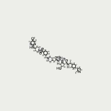 Cc1ncsc1-c1ccc([C@H](C)NC(=O)[C@@H]2C[C@@H](O)CN2C(=O)[C@@H](NC(=O)CC2CCN(Cc3cccc(S(=O)(=O)N4CCC(Nc5ncc(C(F)(F)F)cn5)CC4)c3)CC2)C(C)(C)C)cc1